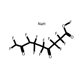 O=C(C(F)F)C(F)C(F)(F)C(F)(F)C(=O)C(F)(F)C(F)(F)C(=O)OF.[NaH]